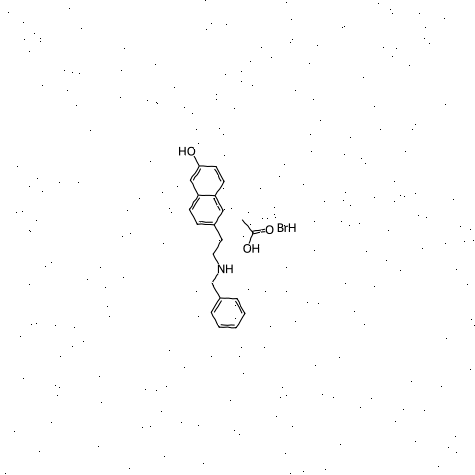 Br.CC(=O)O.Oc1ccc2cc(CCNCc3ccccc3)ccc2c1